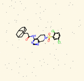 O=C(CC12CC3CC(CC(C3)C1)C2)Nc1ncnc2c1CCN(S(=O)(=O)c1cc(Cl)ccc1Cl)C2